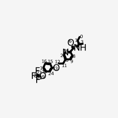 CCC(C)NC(=O)c1ccc(CCOc2cccc(OC(F)(F)F)c2)cn1